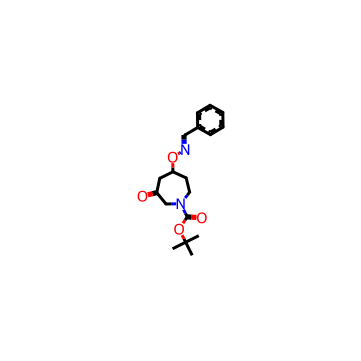 CC(C)(C)OC(=O)N1CCC(O/N=C/c2ccccc2)CC(=O)C1